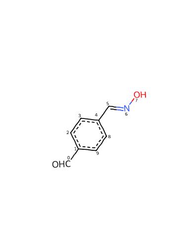 O=Cc1ccc(/C=N/O)cc1